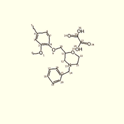 COc1cc(I)ccc1OCC1CN(Cc2ccccc2)CCO1.O=C(O)C(=O)O